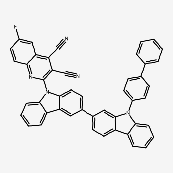 N#Cc1c(-n2c3ccccc3c3cc(-c4ccc5c6ccccc6n(-c6ccc(-c7ccccc7)cc6)c5c4)ccc32)nc2ccc(F)cc2c1C#N